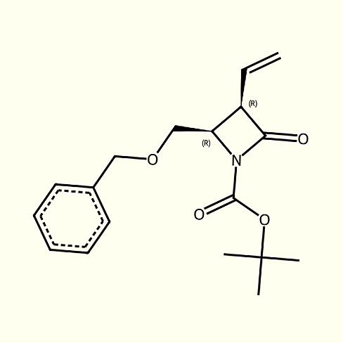 C=C[C@H]1C(=O)N(C(=O)OC(C)(C)C)[C@H]1COCc1ccccc1